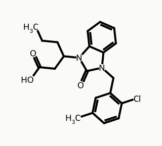 CCCC(CC(=O)O)n1c(=O)n(Cc2cc(C)ccc2Cl)c2ccccc21